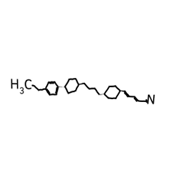 CCCc1ccc([C@H]2CC[C@H](CCCC[C@H]3CC[C@H](C=CC=CC#N)CC3)CC2)cc1